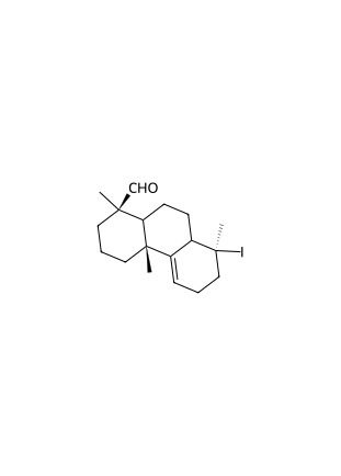 C[C@]1(I)CCC=C2C1CCC1[C@@]2(C)CCC[C@@]1(C)C=O